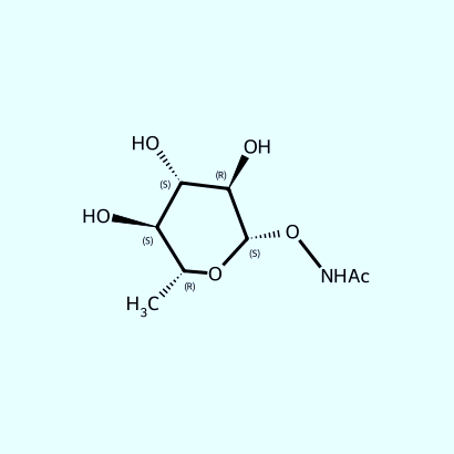 CC(=O)NO[C@@H]1O[C@H](C)[C@@H](O)[C@H](O)[C@H]1O